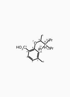 Cc1ccc(C(=O)O)c(OC(C)[PH](C(C)C)(C(C)C)C(C)C)c1